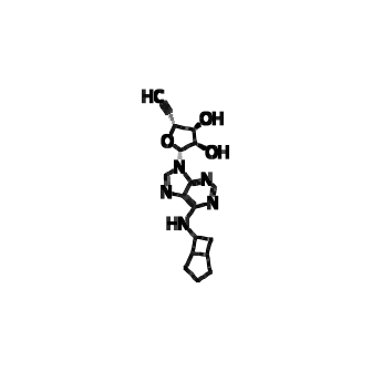 C#C[C@H]1O[C@@H](n2cnc3c(NC4CC5CCCC54)ncnc32)[C@H](O)[C@@H]1O